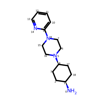 N[C@H]1CC[C@@H](N2CCN(c3ccccn3)CC2)CC1